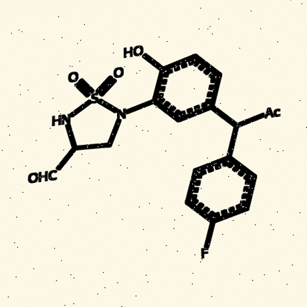 CC(=O)C(c1ccc(F)cc1)c1ccc(O)c(N2CC(C=O)NS2(=O)=O)c1